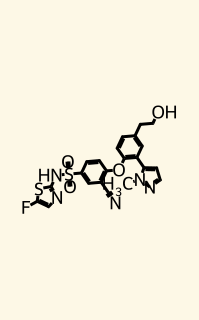 Cn1nccc1-c1cc(CCO)ccc1Oc1ccc(S(=O)(=O)Nc2ncc(F)s2)cc1C#N